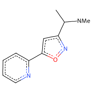 CNC(C)c1cc(-c2ccccn2)on1